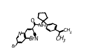 C=C(C)c1ccc(C2(NC(=O)C(C#N)=Cc3ncc(Br)cc3Br)CCCC2)cc1